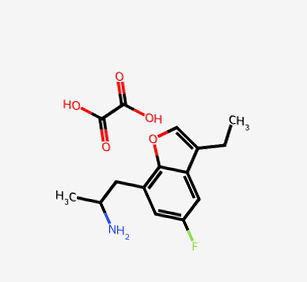 CCc1coc2c(CC(C)N)cc(F)cc12.O=C(O)C(=O)O